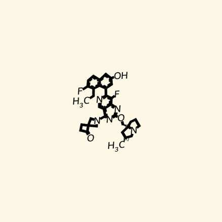 CCc1c(F)ccc2cc(O)cc(-c3ncc4c(N5CC6(CCC6=O)C5)nc(OC[C@@]56CCCN5C[C@H](C)C6)nc4c3F)c12